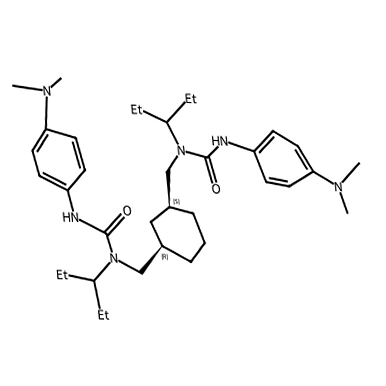 CCC(CC)N(C[C@@H]1CCC[C@H](CN(C(=O)Nc2ccc(N(C)C)cc2)C(CC)CC)C1)C(=O)Nc1ccc(N(C)C)cc1